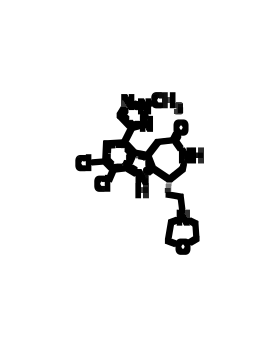 Cn1ncc(-c2cc(Cl)c(Cl)c3[nH]c4c(c23)CC(=O)NC[C@@H]4CCN2CCOCC2)n1